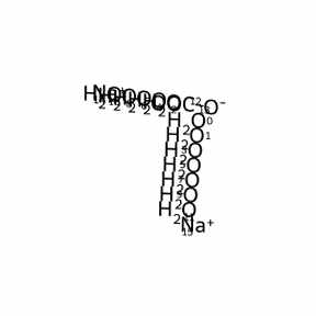 O.O.O.O.O.O.O.O.O.O.O.O.O=C([O-])[O-].[Na+].[Na+]